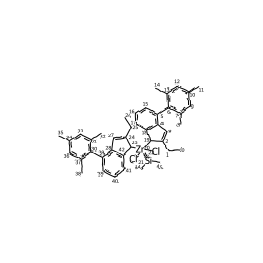 CCC1=Cc2c(-c3c(C)cc(C)cc3C)cccc2[CH]1[Zr]([Cl])([Cl])([CH]1C(CC)=Cc2c(-c3c(C)cc(C)cc3C)cccc21)=[Si](C)C